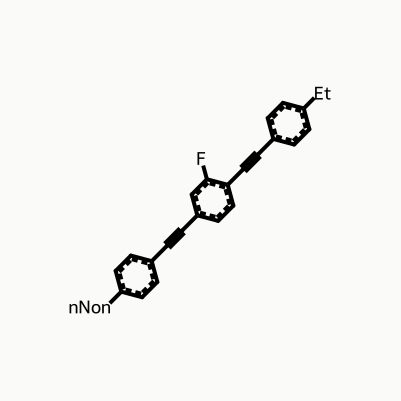 CCCCCCCCCc1ccc(C#Cc2ccc(C#Cc3ccc(CC)cc3)c(F)c2)cc1